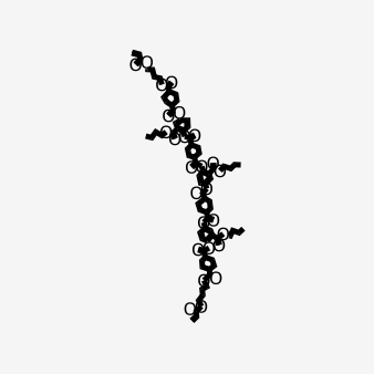 C=CC(=O)OCCCCOC(=O)C1CCC(C(=O)Oc2ccc(OC(=O)C3CCC(C(=O)Oc4ccc(OC(=O)C5CCC(C(=O)Oc6ccc(OC(=O)C7CCC(C(=O)OCCCCOC(=O)C=C)CC7)c(C(=O)OCCCC)c6)CC5)cc4C(=O)OCCCC)CC3)c(C(=O)OCCCC)c2)CC1